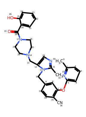 Cc1cccc(Oc2cc(Cn3c(CN4CCN(C(=O)c5ccccc5O)CC4)cnc3C)ccc2C#N)n1